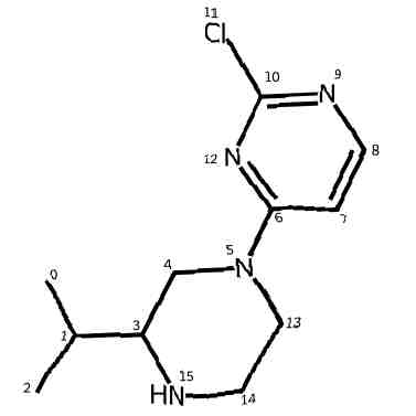 CC(C)C1CN(c2ccnc(Cl)n2)CCN1